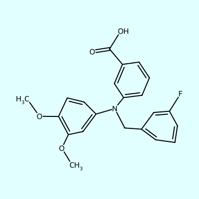 COc1ccc(N(Cc2cccc(F)c2)c2cccc(C(=O)O)c2)cc1OC